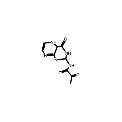 CC(=O)C(=O)NC1NC(=O)C2NC=CN=C2N1